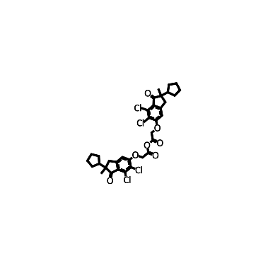 CC1(C2CCCC2)Cc2cc(OCC(=O)OC(=O)COc3cc4c(c(Cl)c3Cl)C(=O)C(C)(C3CCCC3)C4)c(Cl)c(Cl)c2C1=O